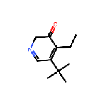 CCC1=C(C(C)(C)C)C=NCC1=O